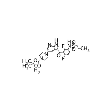 CCCS(=O)(=O)Nc1ccc(F)c(C(=O)c2c[nH]c3ncc(N4CCN(C(=O)OC(C)(C)C)CC4)cc23)c1F